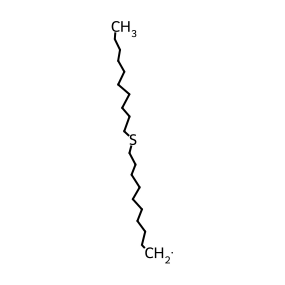 [CH2]CCCCCCCCCSCCCCCCCCCC